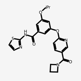 CC(C)Oc1cc(Oc2ccc(C(=O)N3CCC3)cn2)cc(C(=O)Nc2nccs2)c1